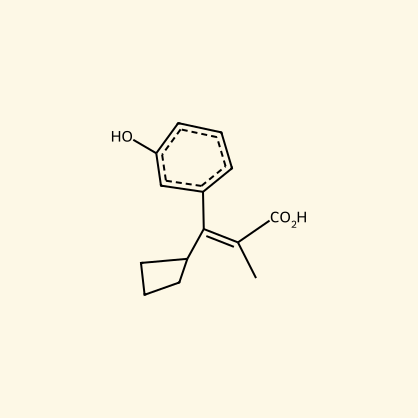 C/C(C(=O)O)=C(/c1cccc(O)c1)C1CCC1